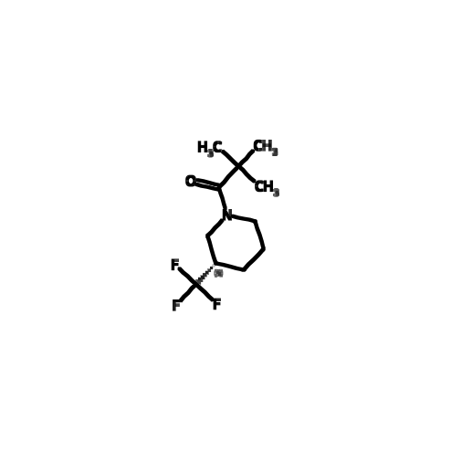 CC(C)(C)C(=O)N1CCC[C@H](C(F)(F)F)C1